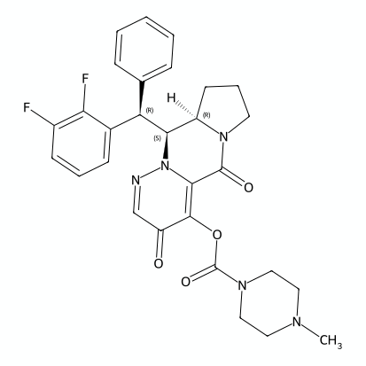 CN1CCN(C(=O)Oc2c3n(ncc2=O)[C@@H]([C@H](c2ccccc2)c2cccc(F)c2F)[C@H]2CCCN2C3=O)CC1